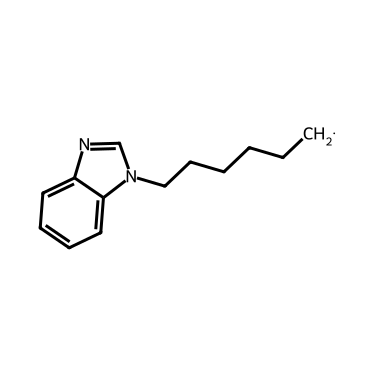 [CH2]CCCCCn1cnc2ccccc21